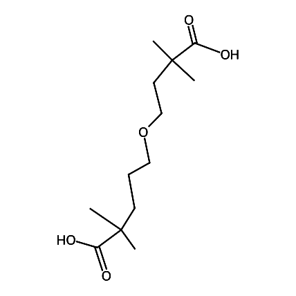 CC(C)(CCCOCCC(C)(C)C(=O)O)C(=O)O